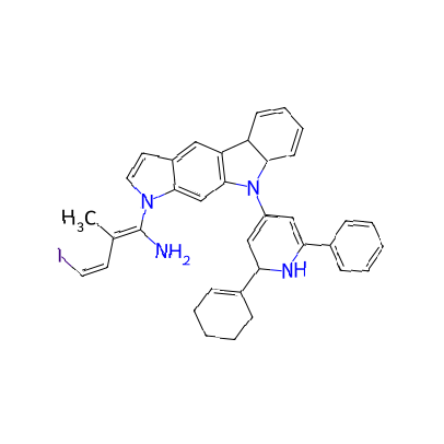 CC(/C=C\I)=C(/N)n1ccc2cc3c(cc21)N(C1=CC(C2=CCCCC2)NC(c2ccccc2)=C1)C1C=CC=CC31